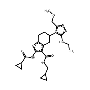 CCNc1nnc(COC)n1C1CCc2sc(NC(=O)C3CC3)c(C(=O)NCC3CC3)c2C1